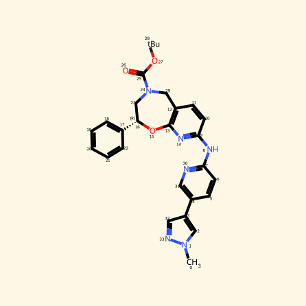 Cn1cc(-c2ccc(Nc3ccc4c(n3)O[C@H](c3ccccc3)CN(C(=O)OC(C)(C)C)C4)nc2)cn1